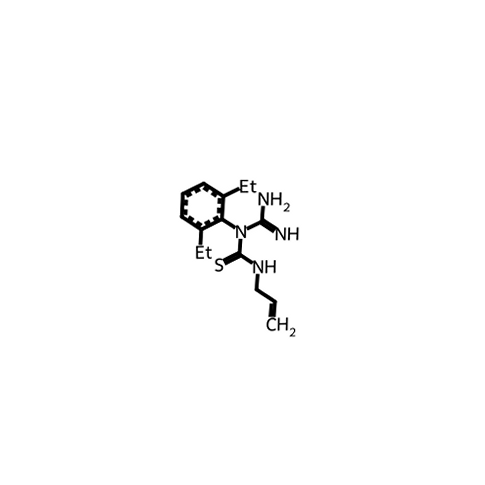 C=CCNC(=S)N(C(=N)N)c1c(CC)cccc1CC